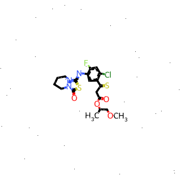 COCC(C)OC(=O)CC(=S)c1cc(N=c2sc(=O)n3n2CCCC3)c(F)cc1Cl